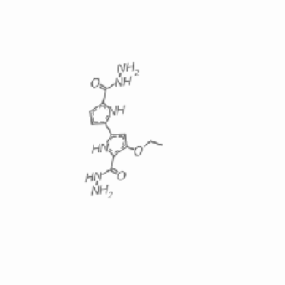 CCOc1cc(-c2ccc(C(=O)NN)[nH]2)[nH]c1C(=O)NN